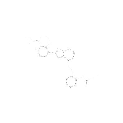 COc1c(-c2cc3c(COc4ccccc4CC(=O)O)cccc3o2)ccnc1CN